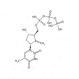 C=C1[C@H](COP(=O)(O)OP(=O)(O)OP(=O)(O)O)[C@@H](O)C[C@@H]1n1cc(C)c(=O)[nH]c1=O